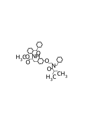 CCC(CC)C(=O)N(CCOc1ccc(C[C@H](Nc2ccccc2C(=O)c2ccccc2)C(=O)OC)cc1)Cc1ccccc1